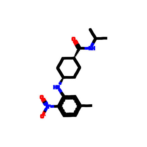 Cc1ccc([N+](=O)[O-])c(N[C@H]2CC[C@@H](C(=O)NC(C)C)CC2)c1